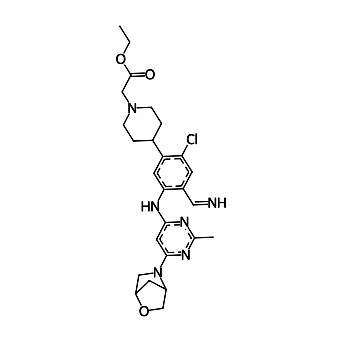 CCOC(=O)CN1CCC(c2cc(Nc3cc(N4CC5CC4CO5)nc(C)n3)c(C=N)cc2Cl)CC1